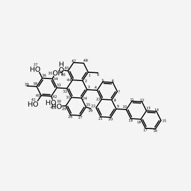 CC1=c2c(-c3cccc4c(-c5ccc6ccccc6c5)cccc34)c3c(C)ccc(O)c3c(-c3c(O)c(O)c(C)c(O)c3O)c2=C(O)CC1